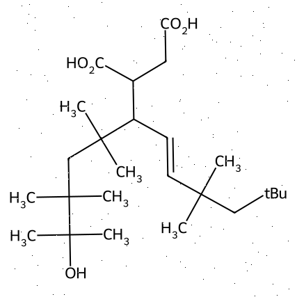 CC(C)(C)CC(C)(C)/C=C/C(C(CC(=O)O)C(=O)O)C(C)(C)CC(C)(C)C(C)(C)O